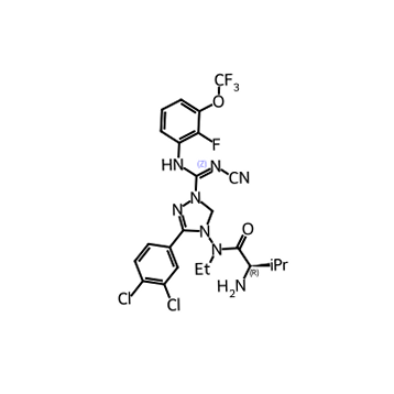 CCN(C(=O)[C@H](N)C(C)C)N1CN(/C(=N\C#N)Nc2cccc(OC(F)(F)F)c2F)N=C1c1ccc(Cl)c(Cl)c1